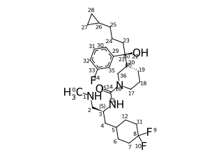 CNC[C@H](CC1CCC(F)(F)CC1)NC(=O)N1CCC[C@@H]([C@@](O)(CCCC2CC2)c2cccc(F)c2)C1